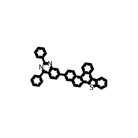 c1ccc(-c2nc(-c3ccccc3)c3ccc(-c4ccc5c(ccc6c7sc8ccccc8c7c7ccccc7c56)c4)cc3n2)cc1